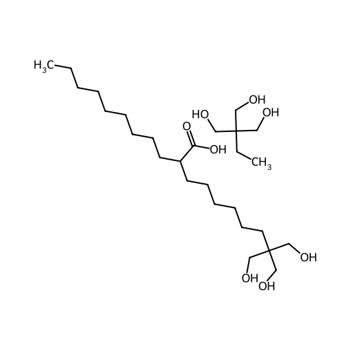 CCC(CO)(CO)CO.CCCCCCCCCC(CCCCCCC(CO)(CO)CO)C(=O)O